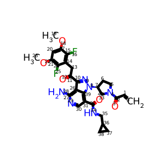 C=CC(=O)N1CC[C@H](n2nc(C(=O)Cc3c(F)c(OC)cc(OC)c3F)c3c(N)ncc(C(=O)NCC4CC4)c32)C1